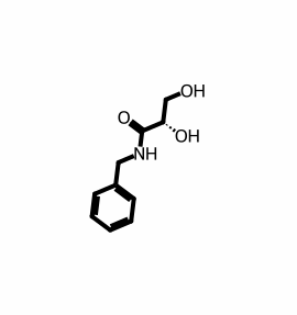 O=C(NCc1ccccc1)[C@@H](O)CO